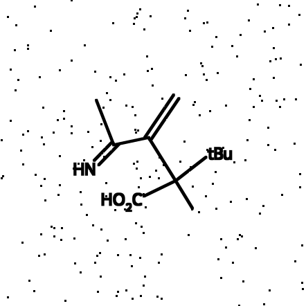 C=C(C(C)=N)C(C)(C(=O)O)C(C)(C)C